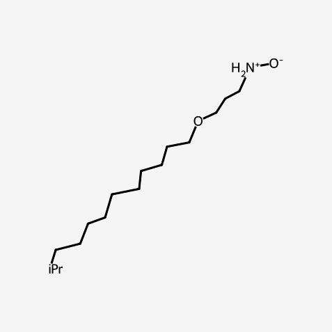 CC(C)CCCCCCCCCCOCCC[NH2+][O-]